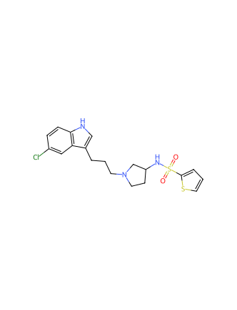 O=S(=O)(NC1CCN(CCCc2c[nH]c3ccc(Cl)cc23)C1)c1cccs1